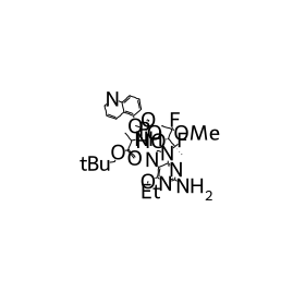 CCOc1nc(N)nc2c1ncn2[C@](C)(F)[C@H](O)[C@@](F)(COP(=O)(NC(C)C(=O)OCC(C)(C)C)Oc1cccc2ncccc12)OC